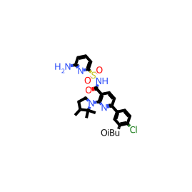 CC(C)COc1cc(-c2ccc(C(=O)NS(=O)(=O)c3cccc(N)n3)c(N3CCC(C)C3(C)C)n2)ccc1Cl